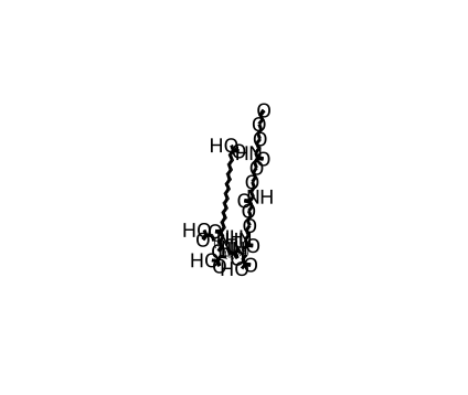 O=CCOCCOCCNC(=O)COCCOCCNC(=O)COCCOCCNC(=O)[C@H](CCC(=O)O)NC(=O)[C@H](CCC(=O)O)NC(=O)[C@H](CCC(=O)O)NC(=O)CCCCCCCCCCCCCCCCC(=O)O